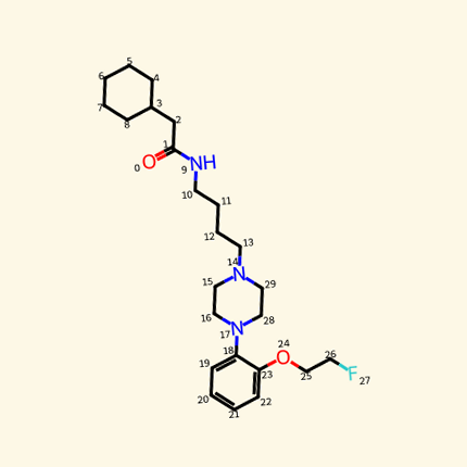 O=C(CC1CCCCC1)NCCCCN1CCN(c2ccccc2OCCF)CC1